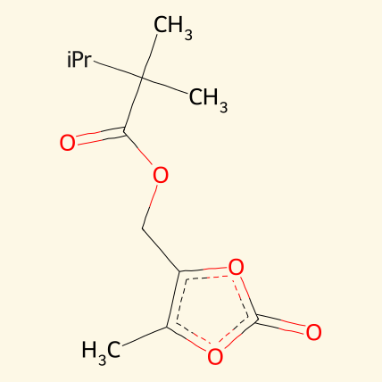 Cc1oc(=O)oc1COC(=O)C(C)(C)C(C)C